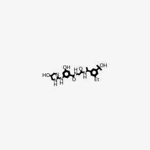 CCc1cc(C(C)NC(=O)CNC(=O)c2cc(O)cc(NC3=NCC(O)CN3)c2)cc(C(C)(C)O)c1